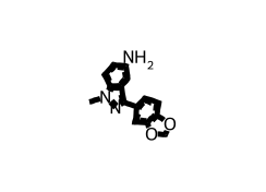 Cn1nc(-c2ccc3c(c2)OCO3)c2cc(N)ccc21